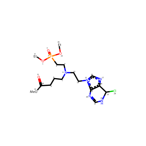 CCOP(=O)(CCN(CCCC(=O)OC)CCn1cnc2c1N=CNC2Cl)OCC